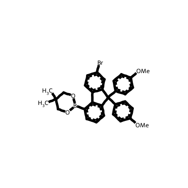 COc1ccc(C2(c3ccc(OC)cc3)c3cc(Br)ccc3-c3c(B4OCC(C)(C)CO4)cccc32)cc1